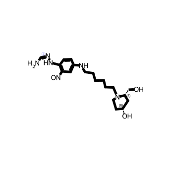 N/C=N\Nc1ccc(NCCCCCCN2CC[C@@H](O)C[C@H]2CO)cc1N=O